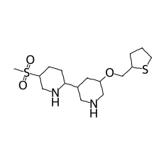 CS(=O)(=O)C1CCC(C2CNCC(OCC3CCCS3)C2)NC1